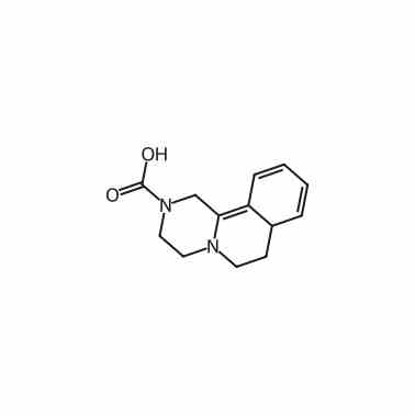 O=C(O)N1CCN2CCC3C=CC=CC3=C2C1